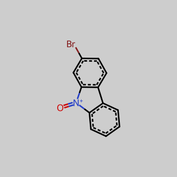 O=[N+]1c2ccccc2-c2ccc(Br)cc21